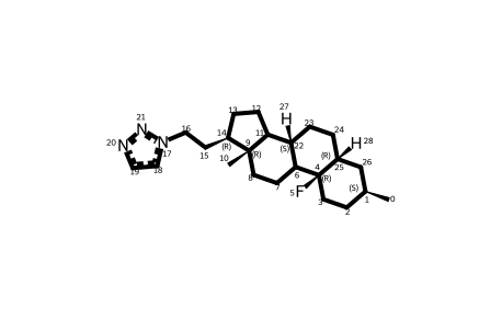 C[C@H]1CC[C@]2(F)C3CC[C@@]4(C)C(CC[C@@H]4CCn4ccnn4)[C@@H]3CC[C@@H]2C1